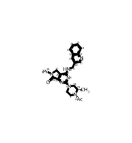 CC(=O)N1CCN(c2nc(NCc3cnc4ccccc4c3)c3c(n2)C(=O)N(C(C)C)C3)C[C@@H]1C